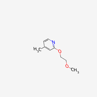 COCCOc1cc(C)ccn1